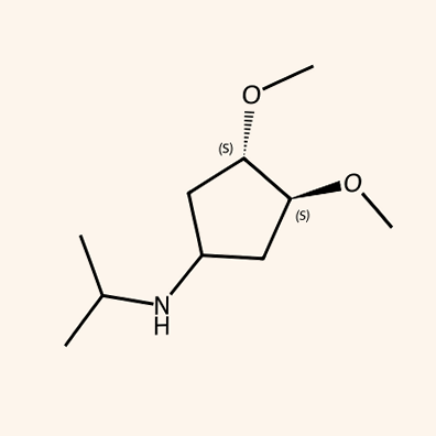 CO[C@H]1CC(NC(C)C)C[C@@H]1OC